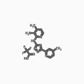 Cc1ccnc(-c2nsc(Nc3nccc(C)c3N)n2)c1.O=C(O)C(F)(F)F